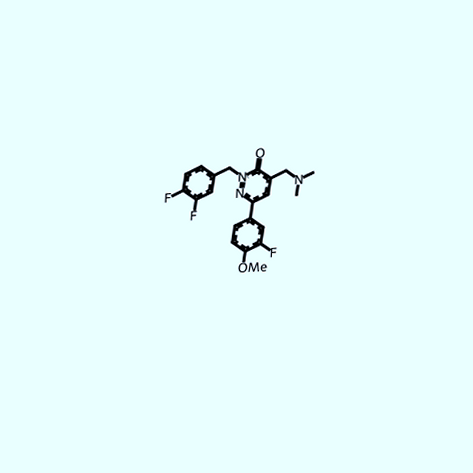 COc1ccc(-c2cc(CN(C)C)c(=O)n(Cc3ccc(F)c(F)c3)n2)cc1F